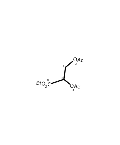 CCOC(=O)C(COC(C)=O)OC(C)=O